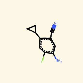 N#Cc1cc(N)c(F)cc1C1CC1